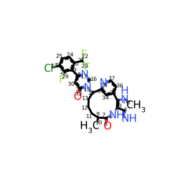 CN/C1=C(\C=N)NC(=O)C(C)CCCC(n2cnc(-c3c(C(F)F)ccc(Cl)c3F)cc2=O)c2cc1ccn2